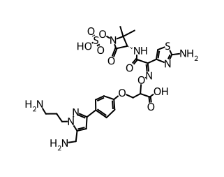 CC1(C)[C@H](NC(=O)/C(=N\OC(COc2ccc(-c3cc(CN)n(CCCN)n3)cc2)C(=O)O)c2csc(N)n2)C(=O)N1OS(=O)(=O)O